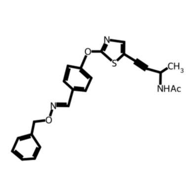 CC(=O)NC(C)C#Cc1cnc(Oc2ccc(C=NOCc3ccccc3)cc2)s1